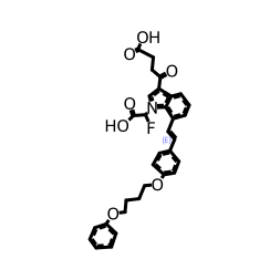 O=C(O)CCC(=O)c1cn(C(F)C(=O)O)c2c(/C=C/c3ccc(OCCCCOc4ccccc4)cc3)cccc12